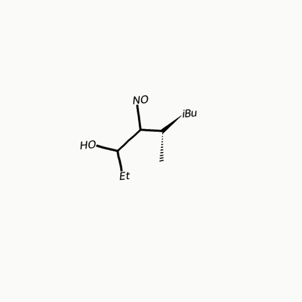 CCC(O)C(N=O)[C@@H](C)[C@H](C)CC